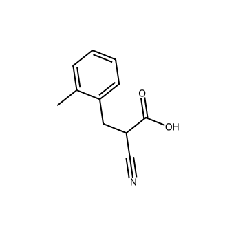 Cc1ccccc1CC(C#N)C(=O)O